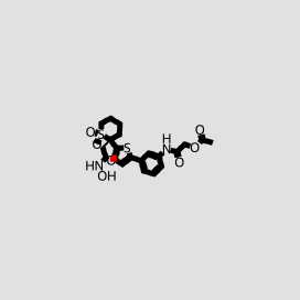 CC(=O)OCC(=O)Nc1cccc(-c2ccc([C@@]3(CC(=O)NO)CCCCS3(=O)=O)s2)c1